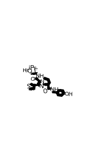 CC(C)C[C@@H](CO)NC(=O)c1c(-c2ccsc2)nc2c(C(=O)NCc3ccc(O)cc3)cccn12